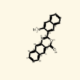 Nc1cc2ccccc2cc1-c1nc2cc3ccccc3cc2c(=O)o1